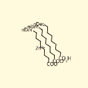 CCCCCCCCCCCCCCCCCC(=O)O.CCCCCCCCCCCCCCCCCC(=O)[O-].CCCCCCCCCCCCCCCCCC(=O)[O-].[Zn+2]